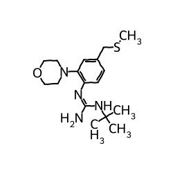 CSCc1ccc(N=C(N)NC(C)(C)C)c(N2CCOCC2)c1